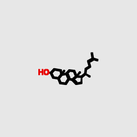 CC(C)=CCC[C@@H](C)[C@H]1CC=C2C3=C(CC[C@@]21C)[C@@]1(C)CC[C@H](O)CC1CC3